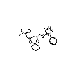 CN(C)C(=O)C[C@H]1C[C@@H](CSc2nnnn2-c2ccccc2)OC2(CCCCC2)O1